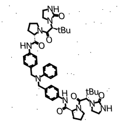 CC(C)(C)[C@@H](C(=O)N1CCC[C@H]1C(=O)Nc1ccc(CN(Cc2ccc(NC(=O)[C@@H]3CCCN3C(=O)[C@@H](N3CCNC3=O)C(C)(C)C)cc2)c2ccccc2)cc1)N1CCNC1=O